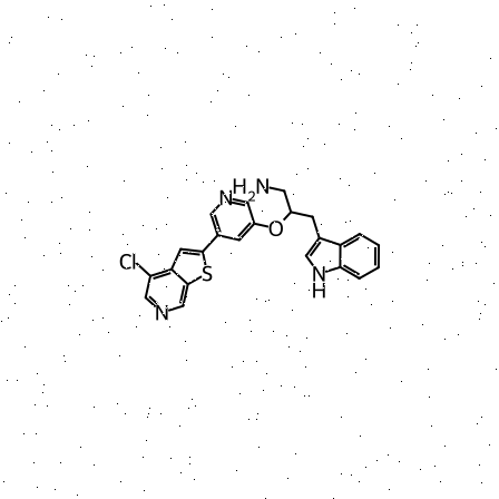 NCC(Cc1c[nH]c2ccccc12)Oc1cncc(-c2cc3c(Cl)cncc3s2)c1